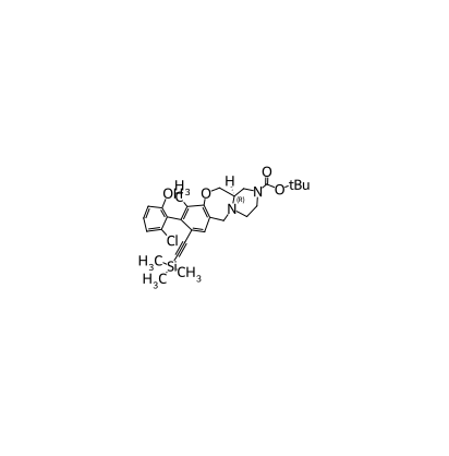 Cc1c2c(cc(C#C[Si](C)(C)C)c1-c1c(O)cccc1Cl)CN1CCN(C(=O)OC(C)(C)C)C[C@@H]1CO2